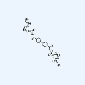 CCO[C@H](CC(=O)NCC(C)C)C(=O)OCC(=O)c1ccc(-c2ccc(C(=O)COC(=O)[C@@H](CC(=O)NCC(C)C)OCC)cc2)cc1